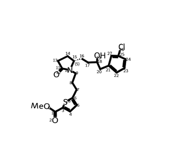 COC(=O)c1ccc(CCCN2C(=O)CC[C@@H]2CCC(O)Cc2cccc(Cl)c2)s1